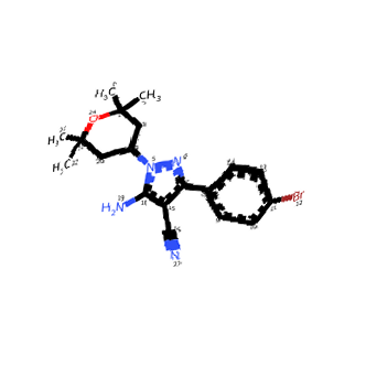 CC1(C)CC(n2nc(-c3ccc(Br)cc3)c(C#N)c2N)CC(C)(C)O1